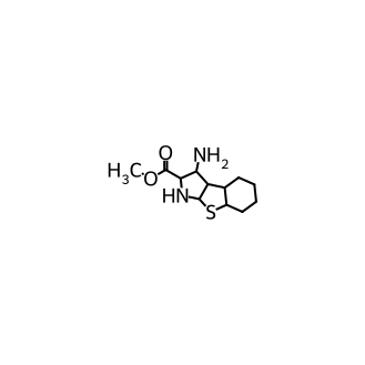 COC(=O)C1NC2SC3CCCCC3C2C1N